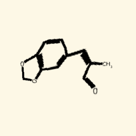 CC(C=O)=Cc1ccc2c(c1)OCO2